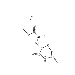 CC/C=C(\CC)C(=O)NC1CCC(=O)NC1=O